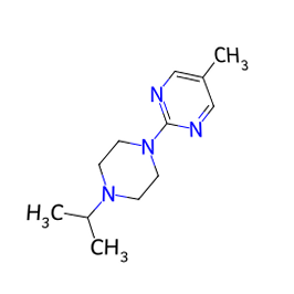 Cc1cnc(N2CCN(C(C)C)CC2)nc1